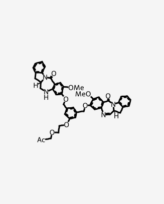 COc1cc2c(cc1OCc1cc(COc3cc4c(cc3OC)C(=O)N3c5ccccc5C[C@H]3CN4)cc(OCCOCC(C)=O)c1)N=C[C@@H]1Cc3ccccc3N1C2=O